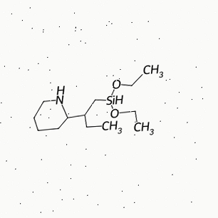 CCO[SiH](CC(CC)C1CCCCN1)OCC